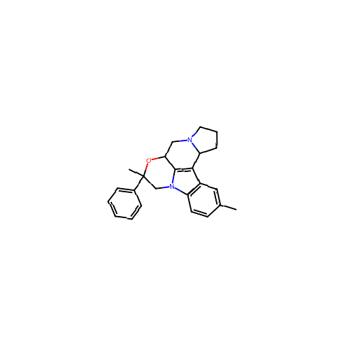 Cc1ccc2c(c1)c1c3n2CC(C)(c2ccccc2)OC3CN2CCCC12